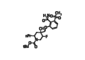 CCCC1CC(C)(COc2cccc(S(C)(=O)=O)c2C(N)=O)C(F)CN1C(=O)OC(C)(C)C